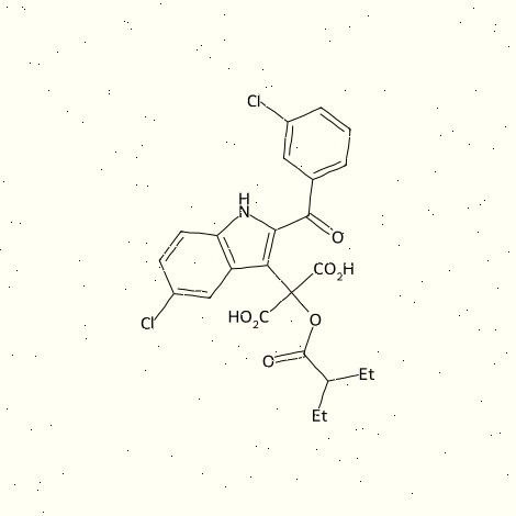 CCC(CC)C(=O)OC(C(=O)O)(C(=O)O)c1c(C(=O)c2cccc(Cl)c2)[nH]c2ccc(Cl)cc12